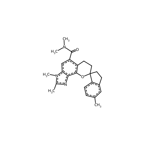 Cc1ccc2c(c1)CCC21CCc2c(C(=O)N(C)C)cc3c(nc(C)n3C)c2O1